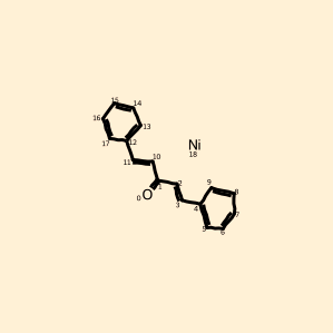 O=C(C=Cc1ccccc1)C=Cc1ccccc1.[Ni]